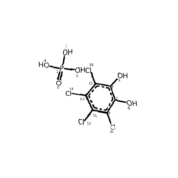 O=P(O)(O)O.Oc1c(O)c(Cl)c(Cl)c(Cl)c1Cl